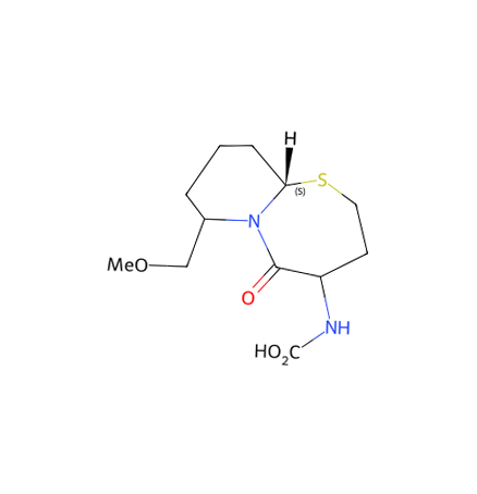 COCC1CCC[C@@H]2SCCC(NC(=O)O)C(=O)N12